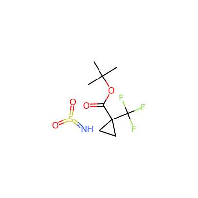 CC(C)(C)OC(=O)C1(C(F)(F)F)CC1.N=S(=O)=O